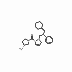 N[C@@H]1CCN(C(=O)N2C=CCN2CC(CC2CCCCC2)c2ccccc2)C1